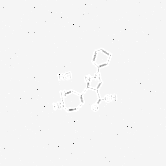 Cl.O=C(O)c1cn(-c2ccccc2)nc1C1=CC=CNN=C1